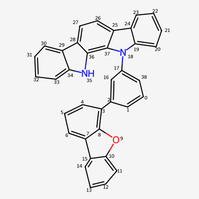 c1cc(-c2cccc3c2oc2ccccc23)cc(-n2c3ccccc3c3ccc4c5ccccc5[nH]c4c32)c1